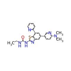 CCNC(=O)Nc1nc2cc(-c3ccc(N(C)C)nc3)cc(-c3ccccn3)c2s1